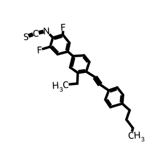 CCCCc1ccc(C#Cc2ccc(-c3cc(F)c(N=C=S)c(F)c3)cc2CC)cc1